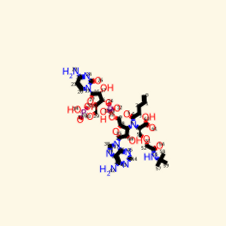 C=CCCC(=O)N(C1C(COP(=O)(O)O[C@H]2[C@@H](O)[C@H](n3ccc(N)nc3=O)O[C@@H]2COP(=O)(O)O)OC(n2cnc3c(N)ncnc32)C1O)[C@H](COCC(=O)NC(C)(C)C)C(=O)O